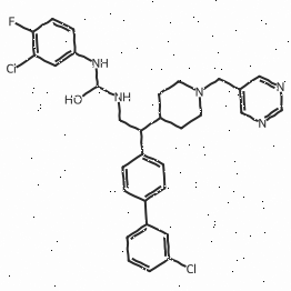 OC(NCC(c1ccc(-c2cccc(Cl)c2)cc1)C1CCN(Cc2cncnc2)CC1)Nc1ccc(F)c(Cl)c1